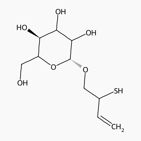 C=CC(S)CO[C@@H]1OC(CO)[C@@H](O)C(O)C1O